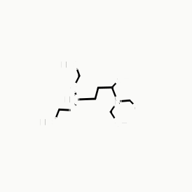 CCO[SiH](CCC(C)N(CC)CC)OCC